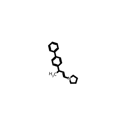 CC(C=CN1CCCC1)c1ccc(-c2ccccc2)cc1